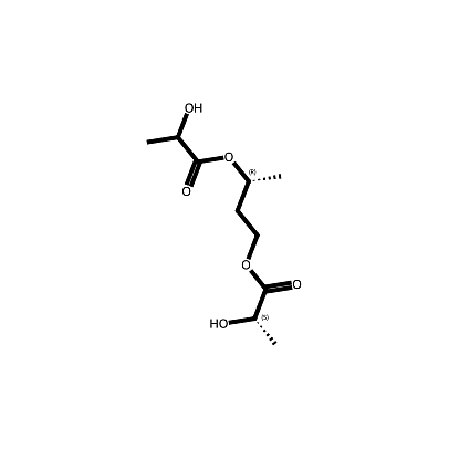 CC(O)C(=O)O[C@H](C)CCOC(=O)[C@H](C)O